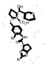 O=C(Nc1ccc(C[C@@H]2CC[C@H](C(O)c3cccnc3)N2C(=O)O)cc1Br)[C@H]1CCc2sc(Br)nc21